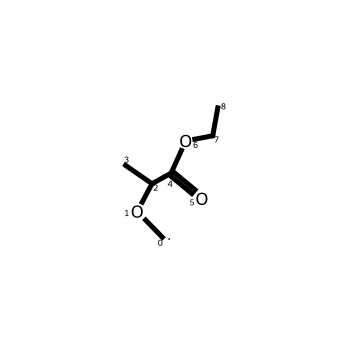 [CH2]OC(C)C(=O)OCC